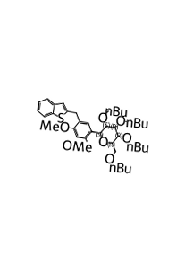 CCCCOC[C@H]1O[C@@H](c2cc(Cc3cc4ccccc4s3)c(OC)cc2OC)[C@H](OCCCC)[C@@H](OCCCC)[C@@H]1OCCCC